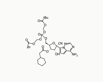 CC(C)C(=O)OCOP(=O)(OCOC(=O)C(C)(C)C)OC[C@H]1O[C@@](C#N)(c2ccc3c(N)ncnn23)[C@H](O)[C@@H]1OC(=O)CC1CCCCC1